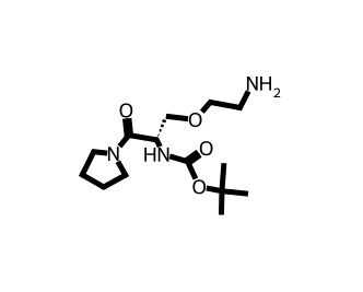 CC(C)(C)OC(=O)N[C@@H](COCCN)C(=O)N1CCCC1